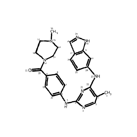 Cc1cnc(Nc2ccc(C(=O)N3CCN(C)CC3)cc2)nc1Nc1ccc2cn[nH]c2c1